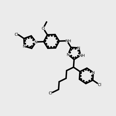 COc1cc(Nc2n[nH]c(C(CCCCCl)c3ccc(Cl)nc3)n2)ccc1-n1cnc(Cl)c1